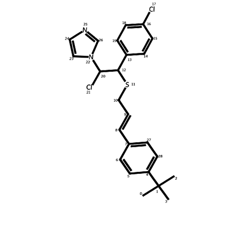 CC(C)(C)c1ccc(C=CCSC(c2ccc(Cl)cc2)C(Cl)n2ccnc2)cc1